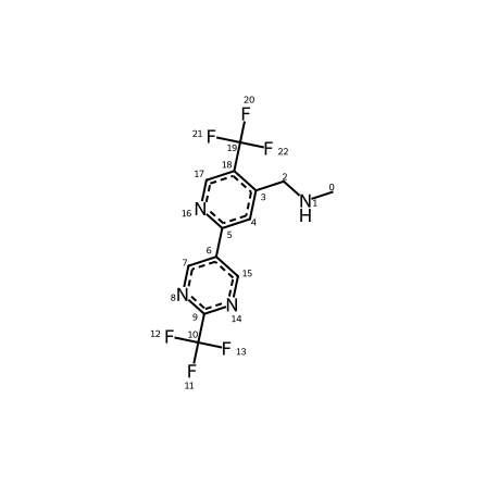 CNCc1cc(-c2cnc(C(F)(F)F)nc2)ncc1C(F)(F)F